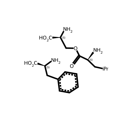 CC(C)C[C@H](N)C(=O)OC[C@H](N)C(=O)O.N[C@@H](Cc1ccccc1)C(=O)O